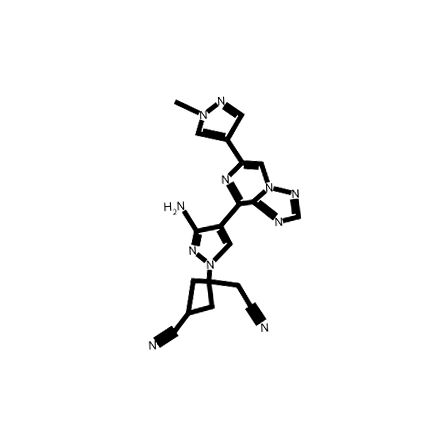 Cn1cc(-c2cn3ncnc3c(-c3cn(C4(CC#N)CC(C#N)C4)nc3N)n2)cn1